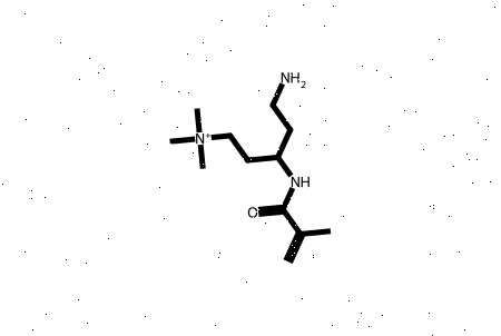 C=C(C)C(=O)NC(CCN)CC[N+](C)(C)C